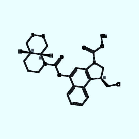 CC(C)(C)OC(=O)N1C[C@@H](CCl)c2c1cc(OC(=O)N1CCC[C@@H]3CSSC[C@@H]31)c1ccccc21